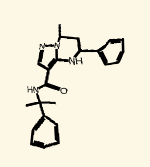 CC1CC(c2ccccc2)Nc2c(C(=O)NC(C)(C)c3ccccc3)cnn21